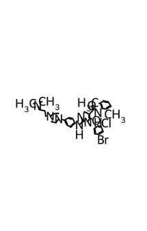 Cc1cccc(C)c1NC(=O)c1cnc(Nc2ccc(N3CCN(CCCN(C)C)CC3)cc2)nc1Oc1ccc(Br)cc1Cl